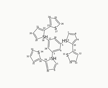 C1=C[SH](c2cc([SH]3C=CC=C3c3cccs3)cc([SH]3C=CC=C3c3cccs3)c2)C(c2cccs2)=C1